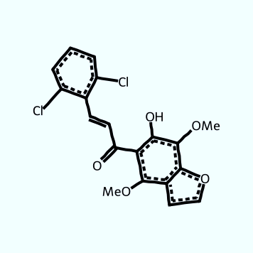 COc1c(C(=O)C=Cc2c(Cl)cccc2Cl)c(O)c(OC)c2occc12